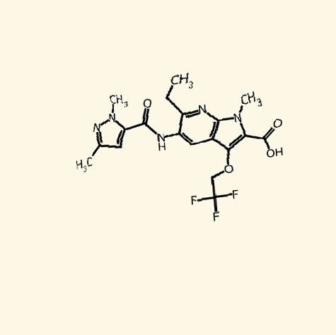 CCc1nc2c(cc1NC(=O)c1cc(C)nn1C)c(OCC(F)(F)F)c(C(=O)O)n2C